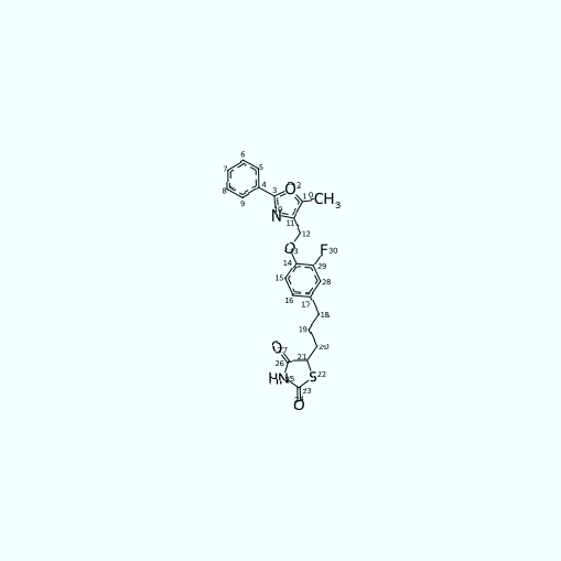 Cc1oc(-c2ccccc2)nc1COc1ccc(CCCC2SC(=O)NC2=O)cc1F